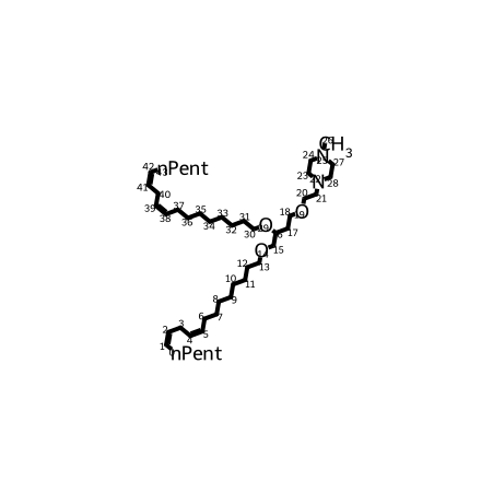 CCCCC/C=C\C/C=C\CCCCCCCCOCC(CCOCCN1CCN(C)CC1)OCCCCCCCC/C=C\C/C=C\CCCCC